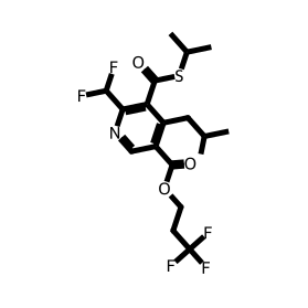 CC(C)Cc1c(C(=O)OCCC(F)(F)F)cnc(C(F)F)c1C(=O)SC(C)C